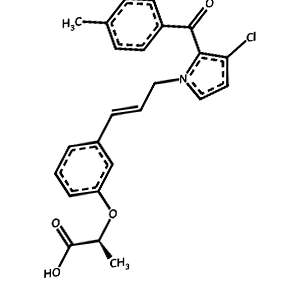 Cc1ccc(C(=O)c2c(Cl)ccn2C/C=C/c2cccc(O[C@@H](C)C(=O)O)c2)cc1